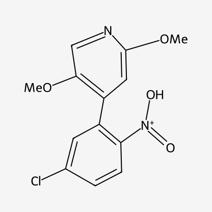 COc1cc(-c2cc(Cl)ccc2[N+](=O)O)c(OC)cn1